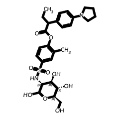 CCC(C(=O)Oc1ccc(S(=O)(=O)N[C@H]2C(O)O[C@H](CO)[C@@H](O)[C@@H]2O)cc1C)c1ccc(N2CCCC2)cc1